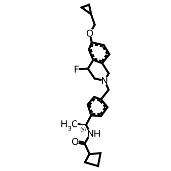 C[C@H](NC(=O)C1CCC1)c1ccc(CN2Cc3ccc(OCC4CC4)cc3C(F)C2)cc1